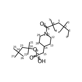 CCC(C)(C)CC(C)(C)C(=O)N1CCC(CP(=O)(O)OC(C)(C)CC(C)(C)C)CC1